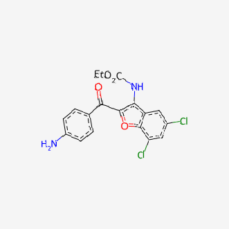 CCOC(=O)Nc1c(C(=O)c2ccc(N)cc2)oc2c(Cl)cc(Cl)cc12